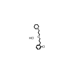 Cl.Clc1ccccc1CCCOCCCN1CCCCC1